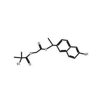 CCC(C)(C)C(=O)OCC(=O)OC(C)c1ccc2cc(S)ccc2c1